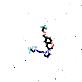 FC(F)(F)CNCCN1CC=CN1[C@H]1COc2ccc(COCC(F)(F)F)cc2C1